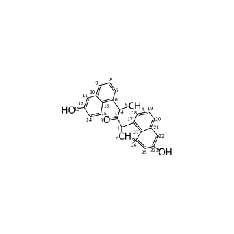 CC(C(=O)C(C)c1cccc2cc(O)ccc12)c1cccc2cc(O)ccc12